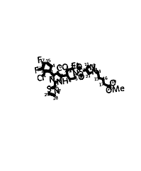 CCOC(=O)C1=C(C2CCN(S(=O)(=O)c3cnn(CCCCC(=O)OC)c3)CC2)NC(c2nccs2)=NC1c1ccc(F)c(F)c1Cl